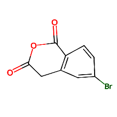 O=C1Cc2cc(Br)ccc2C(=O)O1